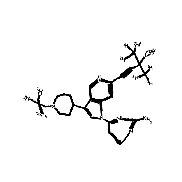 [2H]C([2H])([2H])N1CCC(c2cn(-c3ccnc(N)n3)c3cc(C#CC(O)(C([2H])([2H])[2H])C([2H])([2H])[2H])ncc23)CC1